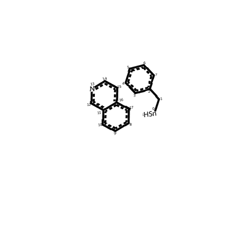 [SnH][CH2]c1ccccc1.c1ccc2cnccc2c1